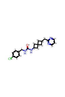 O=C(NCc1ccc(Cl)cc1)NC1CC2(CC(Cc3ncccn3)C2)C1